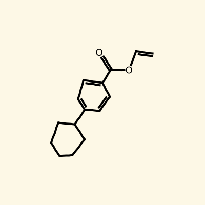 C=COC(=O)c1ccc(C2CCCCC2)cc1